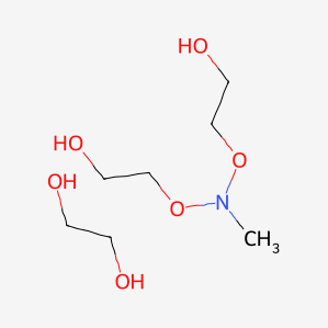 CN(OCCO)OCCO.OCCO